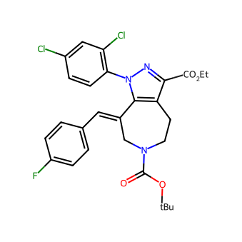 CCOC(=O)c1nn(-c2ccc(Cl)cc2Cl)c2c1CCN(C(=O)OC(C)(C)C)CC2=Cc1ccc(F)cc1